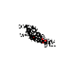 COc1ccc(CN(Cc2ccc(OC)cc2)S(=O)(=O)c2c(S(=O)(=O)C3CCN(C(=O)OC(C)(C)C)CC3)ccc(-c3ccc(N)nc3)c2-c2nnn(Cc3ccc(OC)cc3)n2)cc1